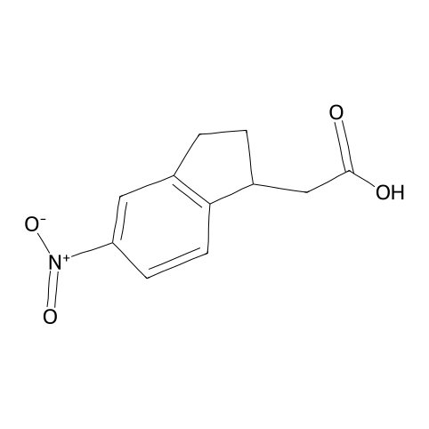 O=C(O)CC1CCc2cc([N+](=O)[O-])ccc21